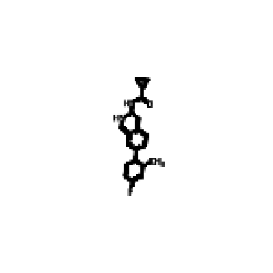 CC1C=C(F)C=CC1c1ccc2c(c1)=CNC(NC(=O)C1CC1)C=2